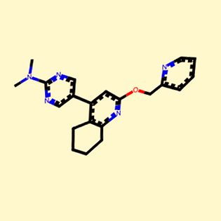 CN(C)c1ncc(-c2cc(OCc3ccccn3)nc3c2CCCC3)cn1